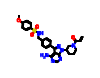 C=CC(=O)N1CCCC(n2nc(-c3ccc(CNS(=O)(=O)c4ccc(OC)cc4)cc3)c3c(N)ncnc32)C1